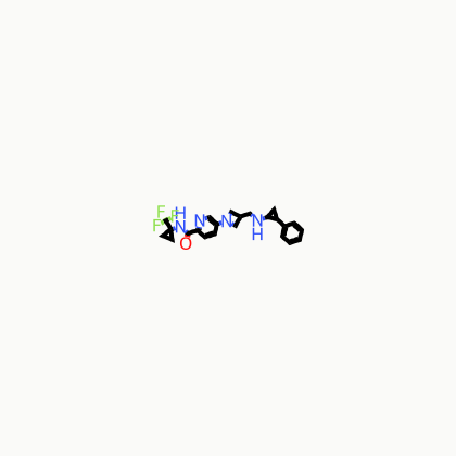 O=C(NC1(C(F)(F)F)CC1)c1ccc(N2CC(CNC3CC3c3ccccc3)C2)cn1